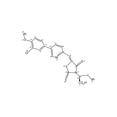 CC(C)C[C@@H](C(=O)O)N1C(=O)C(=Cc2ccc(-c3ccc(OC(C)C)c(Cl)c3)cn2)SC1=S